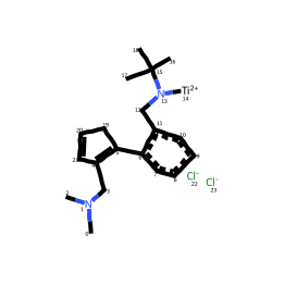 CN(C)CC1=C(c2ccccc2C[N]([Ti+2])C(C)(C)C)CC=C1.[Cl-].[Cl-]